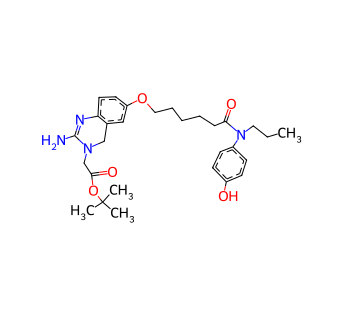 CCCN(C(=O)CCCCCOc1ccc2c(c1)CN(CC(=O)OC(C)(C)C)C(N)=N2)c1ccc(O)cc1